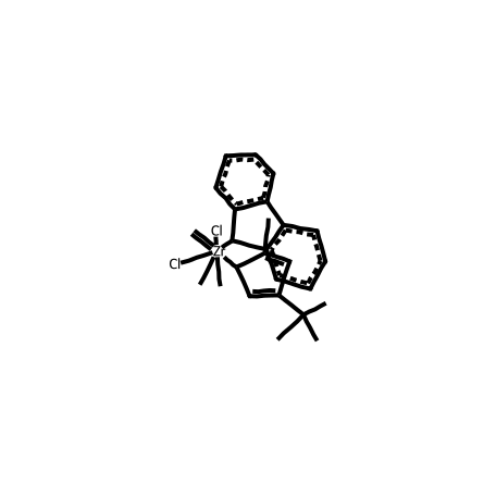 [CH2]=[Zr]([CH3])([CH3])([Cl])([Cl])([CH]1C=C(C(C)(C)C)C=C1C)[CH]1c2ccccc2-c2ccccc21